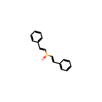 O=[P](C=Cc1ccccc1)C=Cc1ccccc1